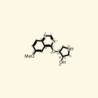 COc1ccc2ncnc(O[C@H]3CNC[C@H]3O)c2c1